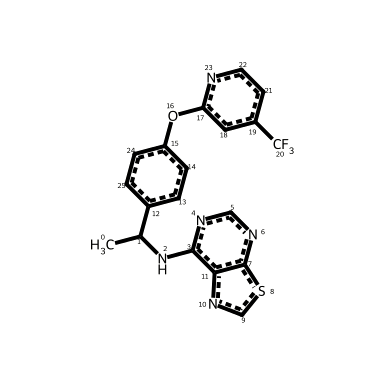 CC(Nc1ncnc2scnc12)c1ccc(Oc2cc(C(F)(F)F)ccn2)cc1